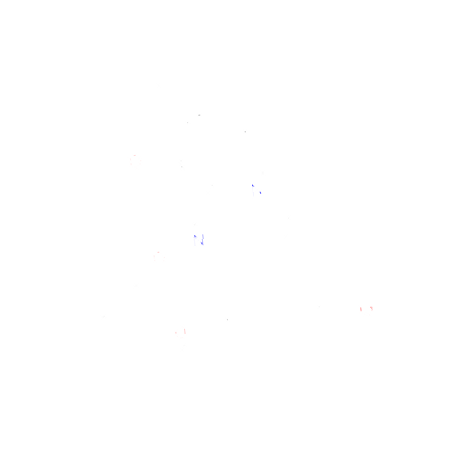 COc1ccc2c(c1)nc(C(=O)C(C)(C)C)n2OC(C)=O